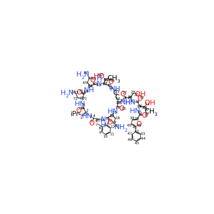 CC(C)C[C@@H]1NC(=O)[C@@H](Cc2ccccc2)NC(=O)[C@H](CCN)NC(=O)[C@@H](NC(=O)[C@@H](CO)NC(=O)[C@@H](NC(=O)c2ccc(-c3ccccc3)o2)[C@@H](C)O)CCNC(=O)[C@H]([C@@H](C)O)NC(=O)[C@H](CCN)NC(=O)[C@H](CCN)NC1=O